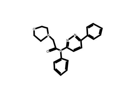 O=C(CN1CCOCC1)N(c1ccccc1)c1ccc(-c2ccccc2)nn1